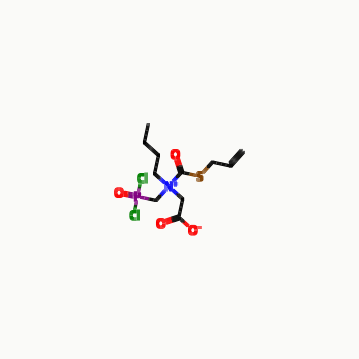 C=CCSC(=O)[N+](CCCC)(CC(=O)[O-])CP(=O)(Cl)Cl